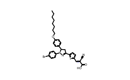 CCCCCCCCOc1ccc(C2CC(c3ccc(/C=C(\C#N)C(=O)O)s3)=NN2c2ccc(Br)cc2)cc1